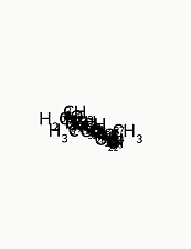 C=C(C)C(=O)OC(C)(C)CC(C)(S)Oc1ccc2cc(-c3cccnc3CC)oc2c1